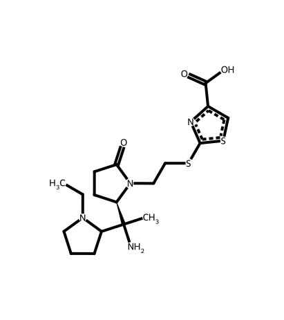 CCN1CCCC1C(C)(N)[C@H]1CCC(=O)N1CCSc1nc(C(=O)O)cs1